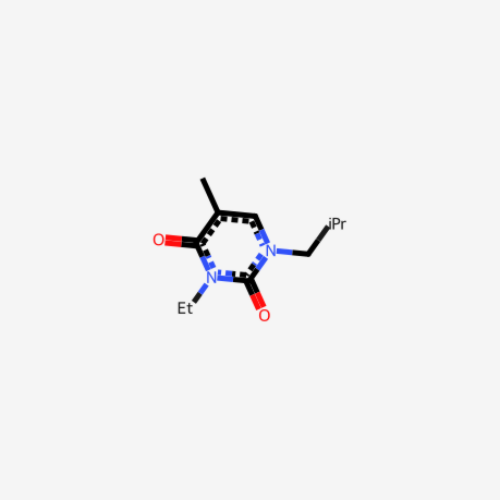 CCn1c(=O)c(C)cn(CC(C)C)c1=O